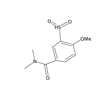 COc1ccc(C(=O)N(C)C)cc1[SH](=O)=O